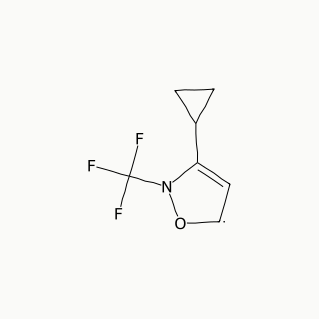 FC(F)(F)N1O[CH]C=C1C1CC1